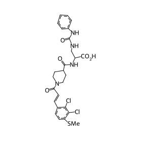 CSc1ccc(C=CC(=O)N2CCC(C(=O)NC(CNC(=O)Nc3ccccc3)C(=O)O)CC2)c(Cl)c1Cl